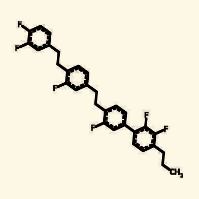 CCCc1ccc(-c2ccc(CCc3ccc(CCc4ccc(F)c(F)c4)c(F)c3)c(F)c2)c(F)c1F